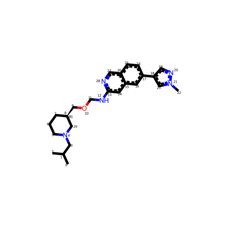 CC(C)CN1CCC[C@@H](COCNc2cc3cc(-c4cnn(C)c4)ccc3cn2)C1